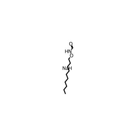 CCCCCCCCCCONC=O.[NaH]